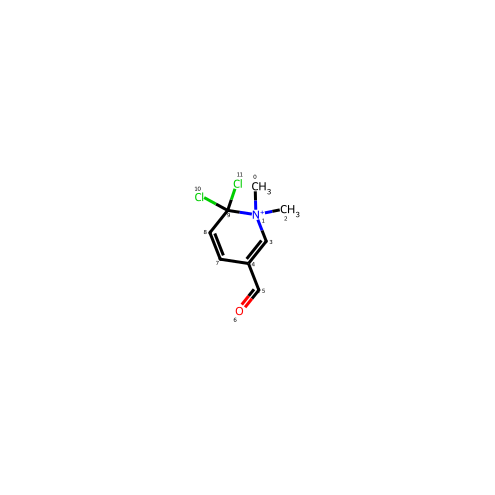 C[N+]1(C)C=C([C]=O)C=CC1(Cl)Cl